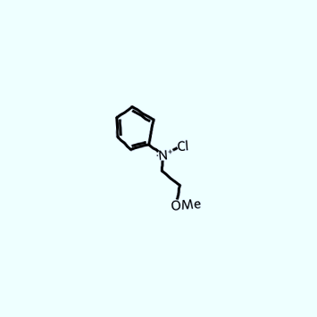 COCC[N+](Cl)c1ccccc1